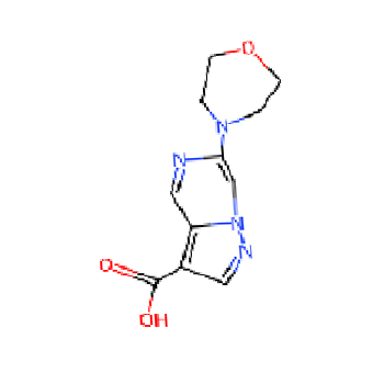 O=C(O)c1cnn2cc(N3CCOCC3)ncc12